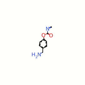 C=NC(=O)Oc1ccc(CN)cc1